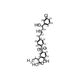 CCC(C(=O)O)c1cc(S(=O)(=O)c2ccc(CCNC[C@H](O)c3cccc(Cl)c3)cc2)ccc1O